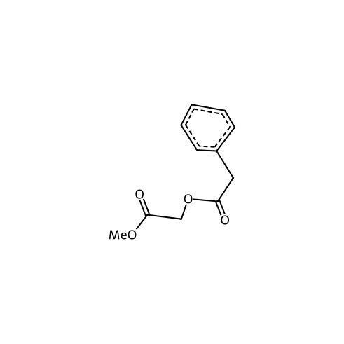 COC(=O)COC(=O)Cc1ccccc1